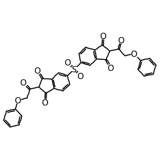 O=C(COc1ccccc1)C1C(=O)c2ccc(S(=O)(=O)c3ccc4c(c3)C(=O)C(C(=O)COc3ccccc3)C4=O)cc2C1=O